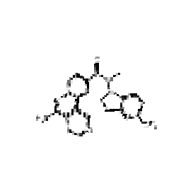 CN(C(=O)c1ccc2nc(N)c3ccncc3c2c1)[C@@H]1CCc2cc(C(F)(F)F)ccc21